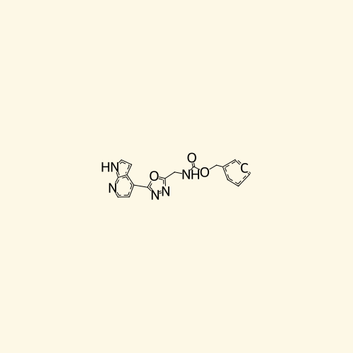 O=C(NCc1nnc(-c2ccnc3[nH]ccc23)o1)OCc1ccccc1